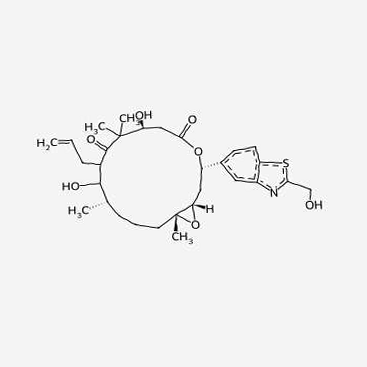 C=CCC1C(=O)C(C)(C)[C@@H](O)CC(=O)O[C@H](c2ccc3sc(CO)nc3c2)C[C@@H]2O[C@]2(C)CCC[C@H](C)C1O